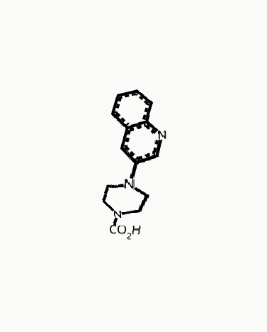 O=C(O)N1CCN(c2cnc3ccccc3c2)CC1